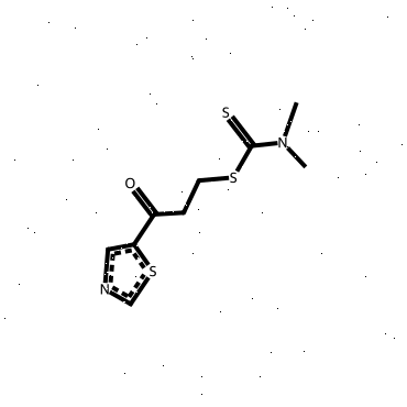 CN(C)C(=S)SCCC(=O)c1cncs1